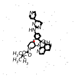 Cc1cccc2ccnc(N(C(=O)c3ccc(Nc4nccc(-c5ccncc5)n4)cc3F)[C@@H]3CCCN(C(=O)OC(C)(C)C)C3)c12